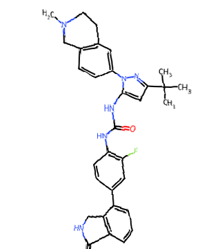 CN1CCc2cc(-n3nc(C(C)(C)C)cc3NC(=O)Nc3ccc(-c4cccc5c4CNC5=O)cc3F)ccc2C1